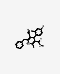 COC(=O)C1=C(C)NC(Cc2ccccc2)=C(C#N)C1c1ccc(F)cc1Cl